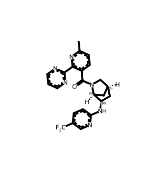 Cc1ccc(C(=O)N2C[C@H]3C[C@@H](Nc4ccc(C(F)(F)F)cn4)[C@@H]2C3)c(-c2ncccn2)n1